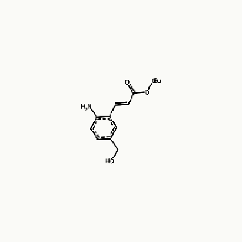 CC(C)(C)OC(=O)/C=C/c1cc(CO)ccc1N